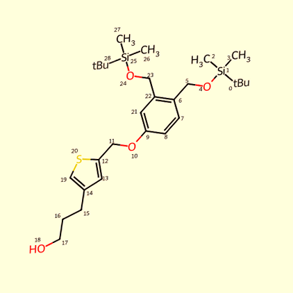 CC(C)(C)[Si](C)(C)OCc1ccc(OCc2cc(CCCO)cs2)cc1CO[Si](C)(C)C(C)(C)C